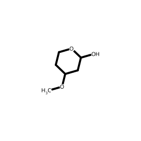 COC1CCOC(O)C1